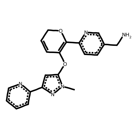 Cn1nc(-c2ccccn2)cc1OC1=C(c2ccc(CN)cn2)OCC=C1